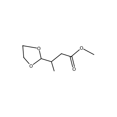 COC(=O)CC(C)C1OCCO1